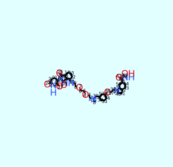 CN(CCOCCOCCNc1cccc2c1C(=O)N(C1CCC(=O)NC1=O)C2=O)Cc1cccc(OCCn2ccc3ccc(C(=O)NO)cc32)c1